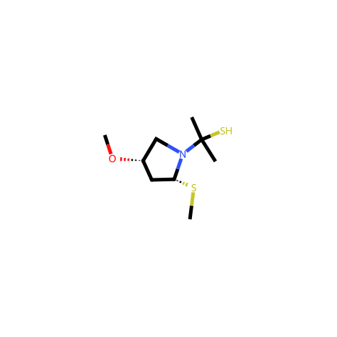 CO[C@H]1C[C@@H](SC)N(C(C)(C)S)C1